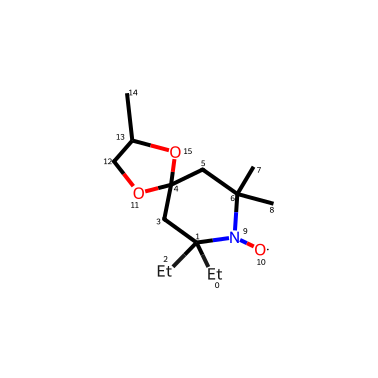 CCC1(CC)CC2(CC(C)(C)N1[O])OCC(C)O2